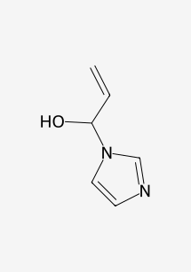 C=CC(O)n1ccnc1